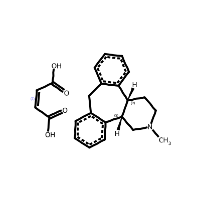 CN1CC[C@H]2c3ccccc3Cc3ccccc3[C@H]2C1.O=C(O)/C=C\C(=O)O